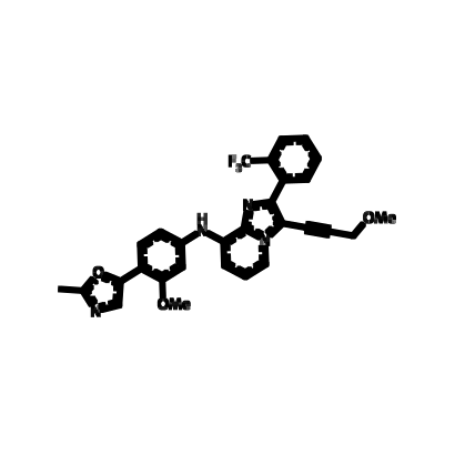 COCC#Cc1c(-c2ccccc2C(F)(F)F)nc2c(Nc3ccc(-c4cnc(C)o4)c(OC)c3)cccn12